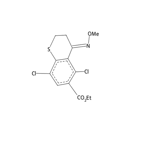 CCOC(=O)c1cc(Cl)c2c(c1Cl)C(=NOC)CCS2